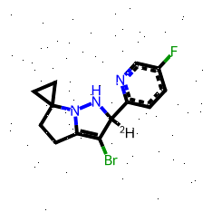 [2H]C1(c2ccc(F)cn2)NN2C(=C1Br)CCC21CC1